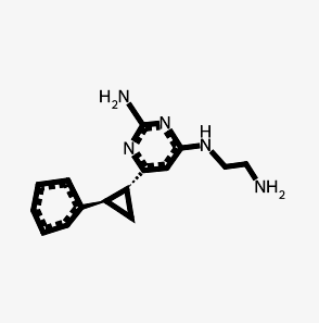 NCCNc1cc([C@@H]2C[C@H]2c2ccccc2)nc(N)n1